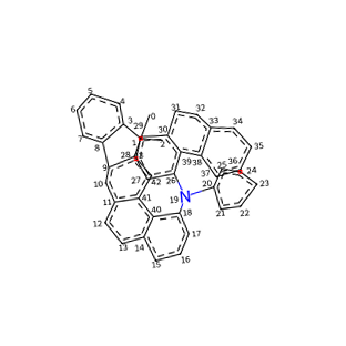 CC1(C)c2ccccc2-c2cc3ccc4cccc(N(c5ccccc5)c5cccc6ccc7ccccc7c56)c4c3cc21